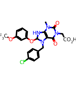 Cn1c2c(c(=O)n(CC(=O)O)c1=O)N(Cc1ccc(Cl)cc1)C(Oc1cccc(OC(F)(F)F)c1)N2